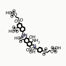 Nc1c(/N=N/c2ccc(S(=O)(=O)CCOS(=O)(=O)O)cc2)c(S(=O)(=O)O)cc2cc(S(=O)(=O)O)c(/N=N/c3ccc4cc(S(=O)(=O)CCOS(=O)(=O)O)cc(S(=O)(=O)O)c4c3)c(O)c12